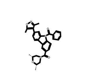 Cc1noc(C)c1-c1ccc2c3cc(C(=O)N4C[C@@H](C)O[C@@H](C)C4)ccc3n(C(=O)c3ccccc3)c2c1